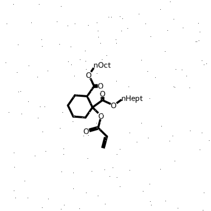 C=CC(=O)OC1(C(=O)OCCCCCCC)CCCCC1C(=O)OCCCCCCCC